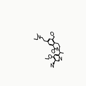 CCOc1cc(C(C)N2CCc3c(C=O)cc(CCN(C)CC)cc3C2=O)ncc1C#N